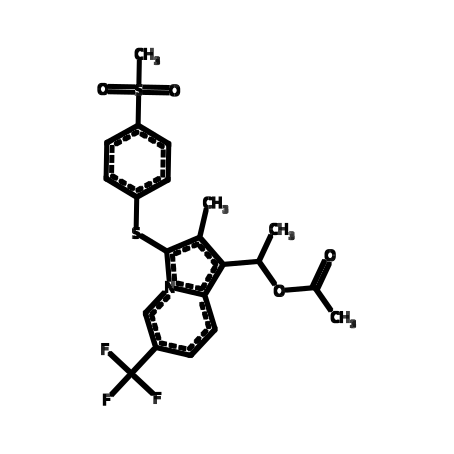 CC(=O)OC(C)c1c(C)c(Sc2ccc(S(C)(=O)=O)cc2)n2cc(C(F)(F)F)ccc12